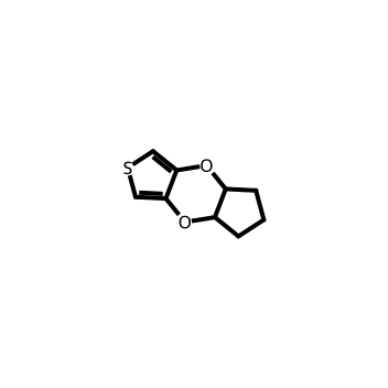 c1scc2c1OC1CCCC1O2